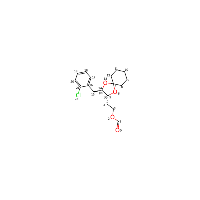 O=COCC[C@H]1OC2(CCCCC2)O[C@@H]1Cc1ccccc1Cl